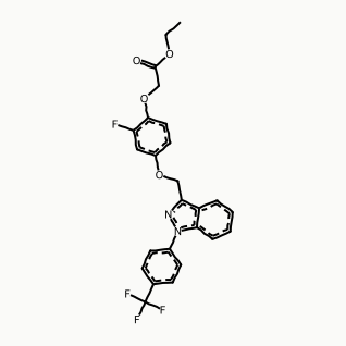 CCOC(=O)COc1ccc(OCc2nn(-c3ccc(C(F)(F)F)cc3)c3ccccc23)cc1F